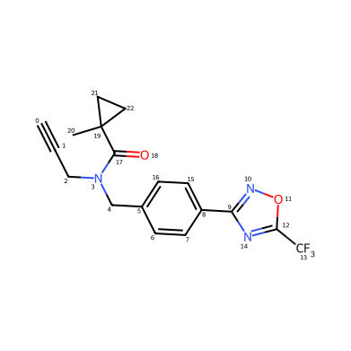 C#CCN(Cc1ccc(-c2noc(C(F)(F)F)n2)cc1)C(=O)C1(C)CC1